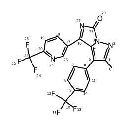 Cc1nn2c(c1-c1ccc(C(F)(F)F)cc1)C(c1ccc(C(F)(F)F)nc1)=NC2=O